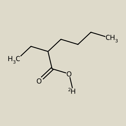 [2H]OC(=O)C(CC)CCCC